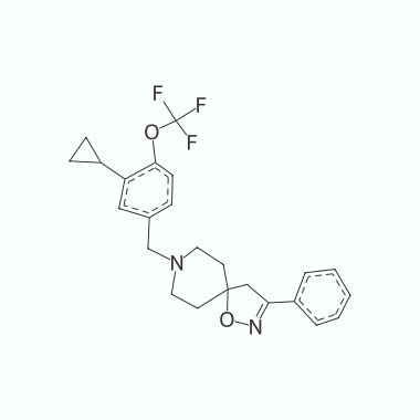 FC(F)(F)Oc1ccc(CN2CCC3(CC2)CC(c2ccccc2)=NO3)cc1C1CC1